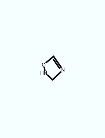 [C]1N=CON1